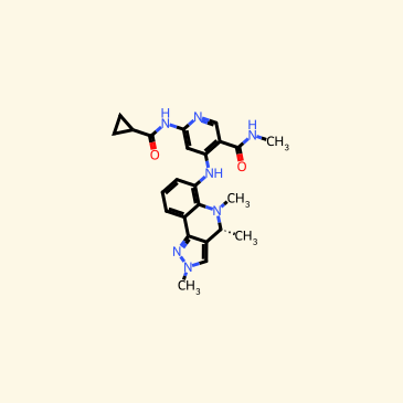 CNC(=O)c1cnc(NC(=O)C2CC2)cc1Nc1cccc2c1N(C)[C@H](C)c1cn(C)nc1-2